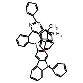 CC1(C)c2ccccc2-c2c(-c3ccccc3-n3c4ccccc4c4cc5c(cc43)c3ccccc3n5-c3ccccc3)nc(-c3ccccc3)nc21